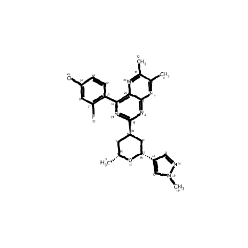 Cc1nc2nc([C@@H]3C[C@@H](C)O[C@@H](c4cnn(C)c4)C3)nc(-c3ccc(Cl)cc3F)c2nc1C